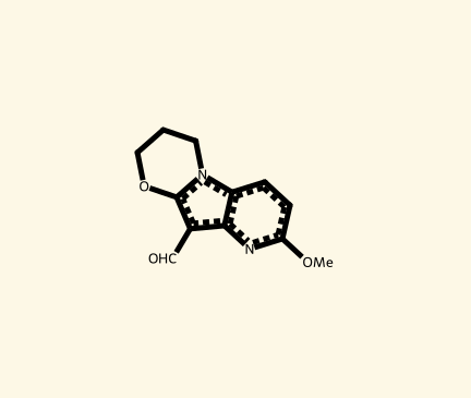 COc1ccc2c(n1)c(C=O)c1n2CCCO1